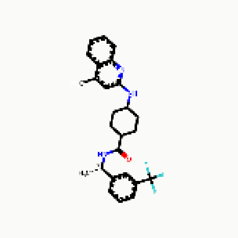 Cc1cc(NC2CCC(C(=O)N[C@@H](C)c3cccc(C(F)(F)F)c3)CC2)nc2ccccc12